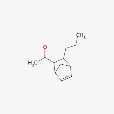 CCCC1C2C=CC(C2)C1C(C)=O